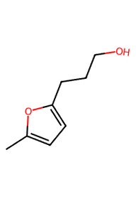 Cc1ccc(CCCO)o1